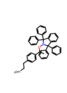 CCCCCCCCCCCCc1ccc(C(C)ON2C(c3ccccc3)(c3ccccc3)c3ccccc3C2(c2ccccc2)c2ccccc2)cc1